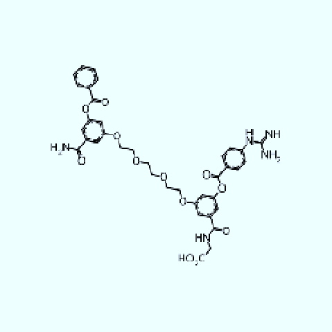 N=C(N)Nc1ccc(C(=O)Oc2cc(OCCOCCOCCOc3cc(OC(=O)c4ccccc4)cc(C(N)=O)c3)cc(C(=O)NCC(=O)O)c2)cc1